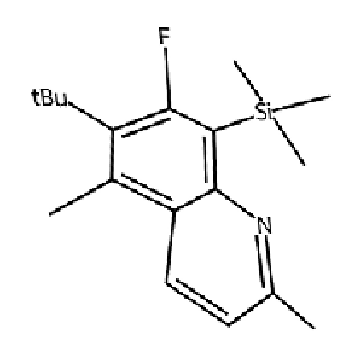 Cc1ccc2c(C)c(C(C)(C)C)c(F)c([Si](C)(C)C)c2n1